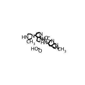 Cc1nc2nn(C)cc2cc1NC(=O)N1CCc2c(N3CCN[C@@H](C)C3)ccnc21.O=CO